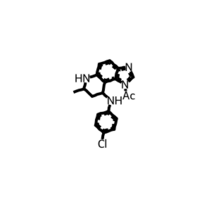 CC(=O)n1cnc2ccc3c(c21)C(Nc1ccc(Cl)cc1)CC(C)N3